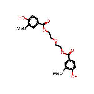 COc1cc(C(=O)OCCOCCOC(=O)c2ccc(O)c(OC)c2)ccc1O